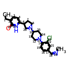 CCc1ccc(C2CCN(C3CCN(c4ccc(/C=N\C)cc4Cl)CC3)C2)[nH]c1=O